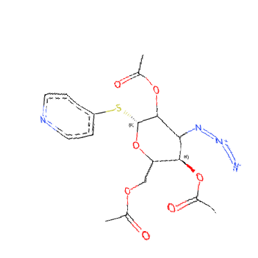 CC(=O)OCC1O[C@H](Sc2ccncc2)C(OC(C)=O)C(N=[N+]=[N-])[C@H]1OC(C)=O